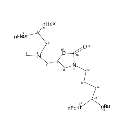 CCCCCCC(CCCCCC)CN(C)C[C@H]1CN(CCCC(CCCC)CCCCC)C(=O)O1